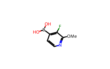 COc1nccc(B(O)O)c1F